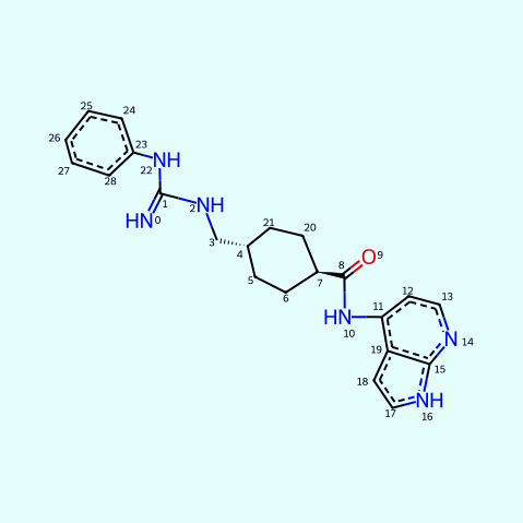 N=C(NC[C@H]1CC[C@H](C(=O)Nc2ccnc3[nH]ccc23)CC1)Nc1ccccc1